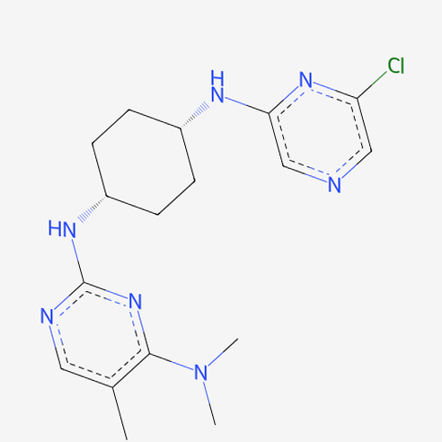 Cc1cnc(N[C@H]2CC[C@@H](Nc3cncc(Cl)n3)CC2)nc1N(C)C